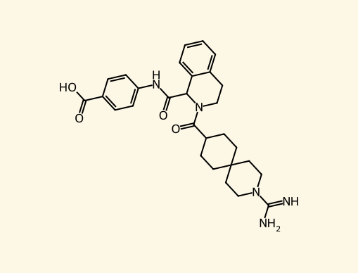 N=C(N)N1CCC2(CCC(C(=O)N3CCc4ccccc4C3C(=O)Nc3ccc(C(=O)O)cc3)CC2)CC1